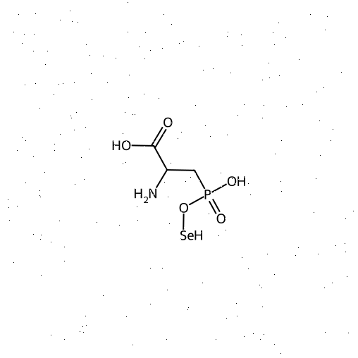 NC(CP(=O)(O)O[SeH])C(=O)O